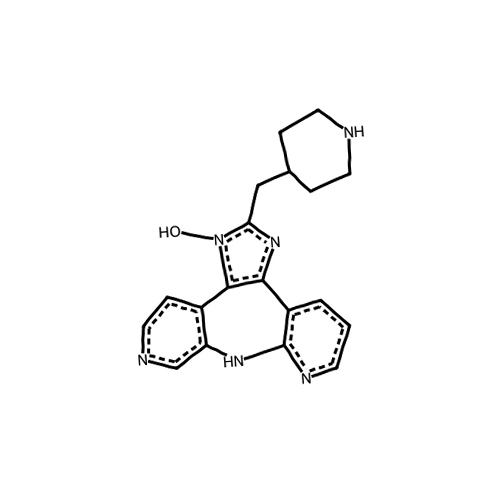 On1c(CC2CCNCC2)nc2c1-c1ccncc1Nc1ncccc1-2